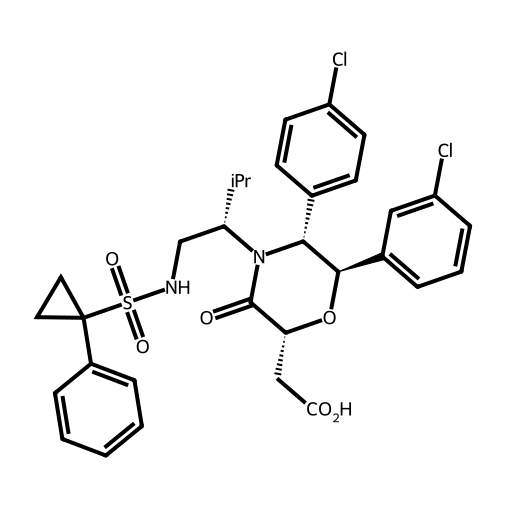 CC(C)[C@@H](CNS(=O)(=O)C1(c2ccccc2)CC1)N1C(=O)[C@@H](CC(=O)O)O[C@H](c2cccc(Cl)c2)[C@H]1c1ccc(Cl)cc1